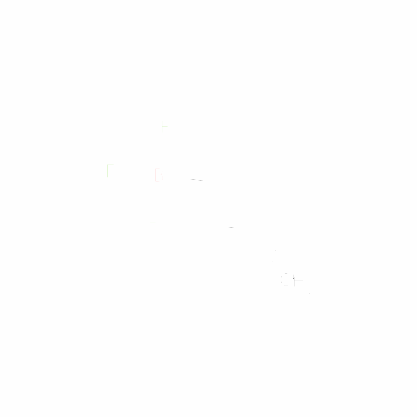 C=CCC[B-](F)(F)F